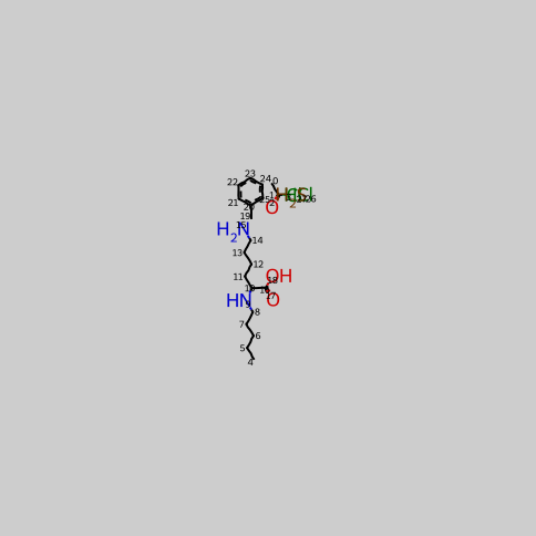 CC(=O)Cl.CCCCCNC(CCCCN)C(=O)O.Cc1ccccc1.Cl.S